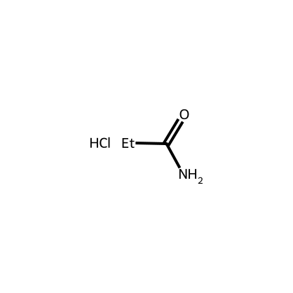 Cl.[CH2]CC(N)=O